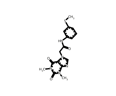 CSc1cccc(NC(=O)Cn2cnc3c2c(=O)n(C)c(=O)n3C)c1